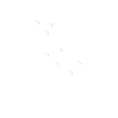 Cc1cc2ncnn2cc1Nc1ncc2c(n1)n(CC1COC1)c(=O)n2C